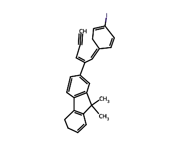 C#C/C=C(\C=C1\C=CC(I)=CC1)c1ccc2c(c1)C(C)(C)C1=C2CCC=C1